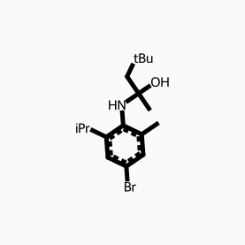 Cc1cc(Br)cc(C(C)C)c1NC(C)(O)CC(C)(C)C